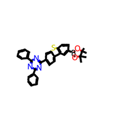 CC1(C)OB(c2ccc3sc4cc(-c5nc(-c6ccccc6)nc(-c6ccccc6)n5)ccc4c3c2)OC1(C)C